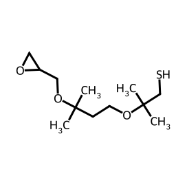 CC(C)(CS)OCCC(C)(C)OCC1CO1